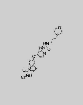 CCNC(=O)n1ccc2cc(Oc3ccnc(NC(=O)NCCCN4CCOCC4)c3)ccc21